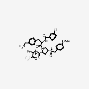 COc1ccc(CS(=O)(=O)[C@@H]2C[C@@H](C(=O)NC(C(=O)C(F)(F)F)C(C)C)N(C(=O)C(Cc3ccc(CN)cc3)NC(=O)c3cccc(Cl)c3)C2)cc1